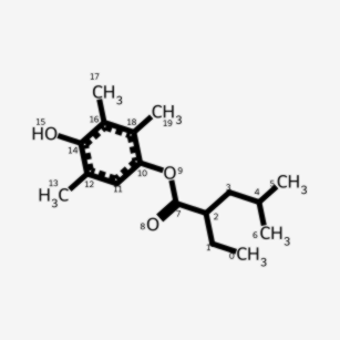 CCC(CC(C)C)C(=O)Oc1cc(C)c(O)c(C)c1C